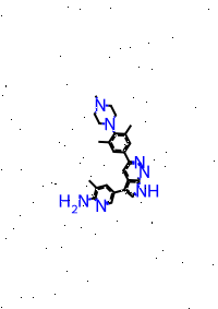 Cc1cc(-c2c[nH]c3nnc(-c4cc(C)c(N5CCN(C)CC5)c(C)c4)cc23)cnc1N